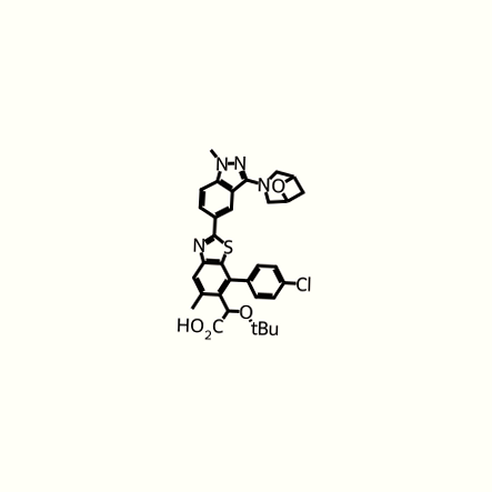 Cc1cc2nc(-c3ccc4c(c3)c(N3CC5CC(C3)O5)nn4C)sc2c(-c2ccc(Cl)cc2)c1C(OC(C)(C)C)C(=O)O